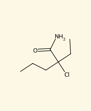 CCCC(Cl)(CC)C(N)=O